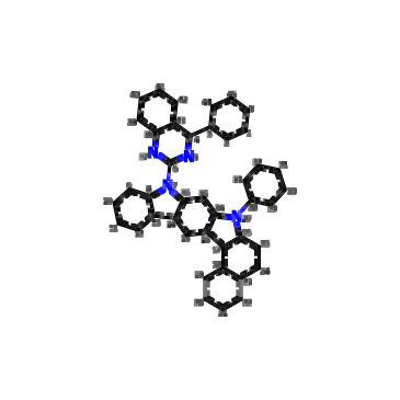 c1ccc(-c2nc(-n3c4ccccc4c4cc5c6c7ccccc7ccc6n(-c6ccccc6)c5cc43)nc3ccccc23)cc1